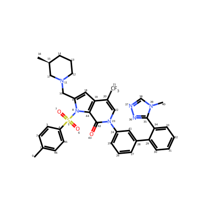 Cc1ccc(S(=O)(=O)n2c(CN3CCC[C@H](C)C3)cc3c(C(F)(F)F)cn(-c4cccc(-c5ccccc5-c5nncn5C)c4)c(=O)c32)cc1